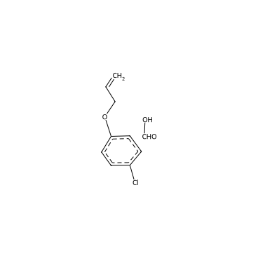 C=CCOc1ccc(Cl)cc1.O=CO